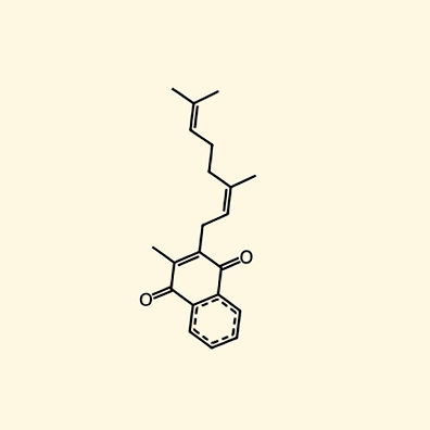 CC(C)=CCCC(C)=CCC1=C(C)C(=O)c2ccccc2C1=O